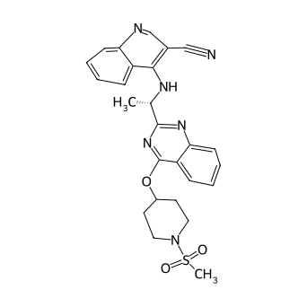 C[C@H](Nc1c(C#N)cnc2ccccc12)c1nc(OC2CCN(S(C)(=O)=O)CC2)c2ccccc2n1